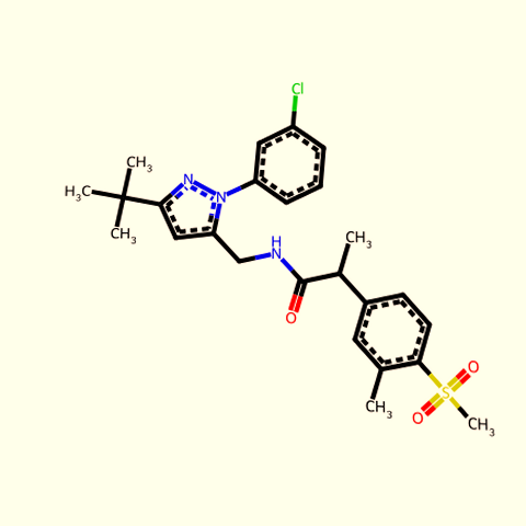 Cc1cc(C(C)C(=O)NCc2cc(C(C)(C)C)nn2-c2cccc(Cl)c2)ccc1S(C)(=O)=O